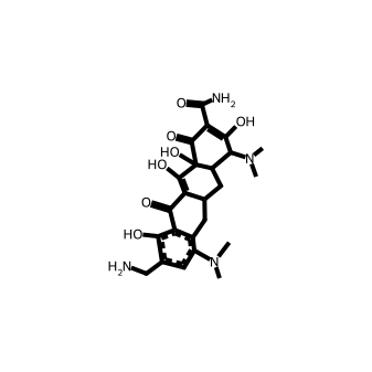 CN(C)c1cc(CN)c(O)c2c1CC1CC3C(N(C)C)C(O)=C(C(N)=O)C(=O)C3(O)C(O)=C1C2=O